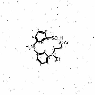 CCN(CCOC(C)=O)c1cccc(C)c1.Nc1cccc(S(=O)(=O)O)c1